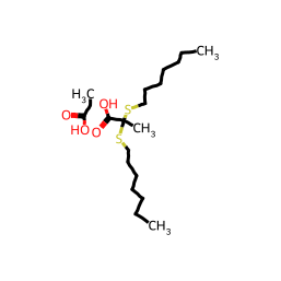 CCC(=O)O.CCCCCCCSC(C)(SCCCCCCC)C(=O)O